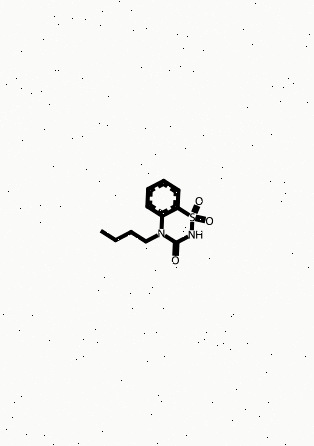 CCCCN1C(=O)NS(=O)(=O)c2ccccc21